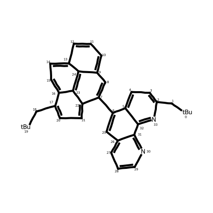 CC(C)(C)Cc1ccc2c(-c3cc4cccc5ccc6c(CC(C)(C)C)ccc3c6c54)cc3cccnc3c2n1